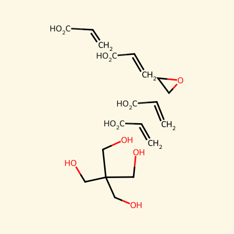 C1CO1.C=CC(=O)O.C=CC(=O)O.C=CC(=O)O.C=CC(=O)O.OCC(CO)(CO)CO